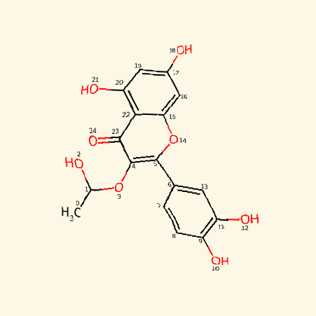 CC(O)Oc1c(-c2ccc(O)c(O)c2)oc2cc(O)cc(O)c2c1=O